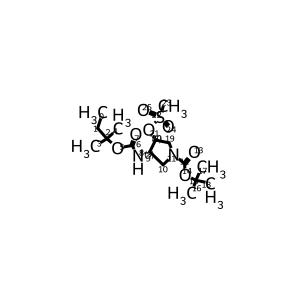 CCC(C)(C)OC(=O)N[C@H]1CN(C(=O)OC(C)(C)C)C[C@@H]1OS(C)(=O)=O